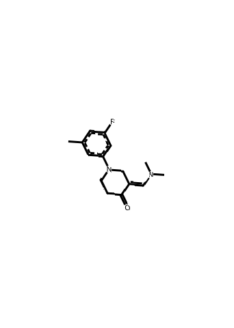 Cc1cc(F)cc(N2CCC(=O)/C(=C/N(C)C)C2)c1